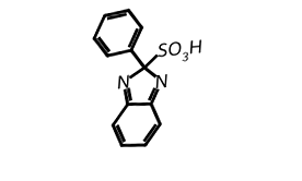 O=S(=O)(O)C1(c2ccccc2)N=c2ccccc2=N1